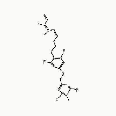 C=C/C(I)=C(C)\C=C/CCCc1c(F)cc(CCc2cc(F)c(C)c(F)c2)cc1F